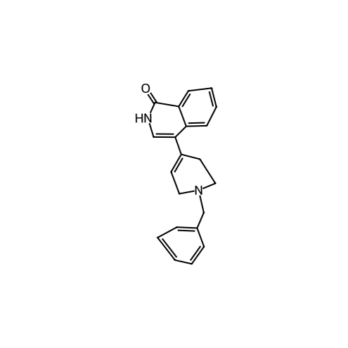 O=c1[nH]cc(C2=CCN(Cc3ccccc3)CC2)c2ccccc12